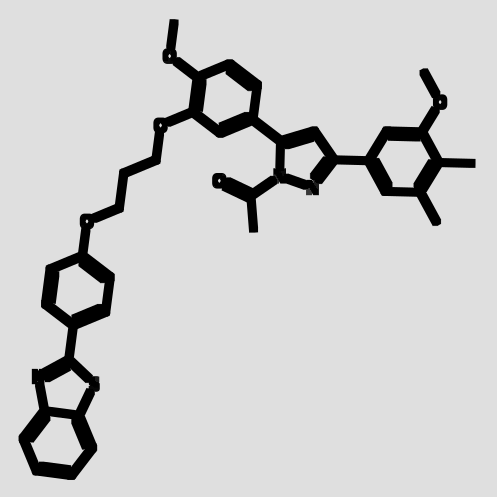 COc1ccc(-c2cc(-c3cc(C)c(C)c(OC)c3)nn2C(C)=O)cc1OCCCOc1ccc(-c2nc3ccccc3s2)cc1